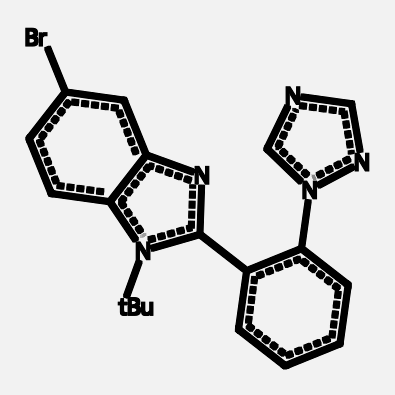 CC(C)(C)n1c(-c2ccccc2-n2cncn2)nc2cc(Br)ccc21